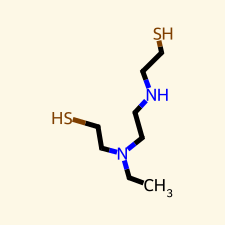 CCN(CCS)CCNCCS